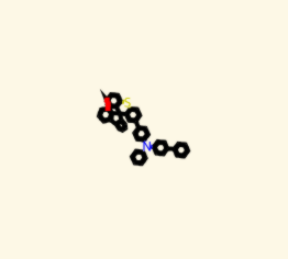 c1ccc(-c2ccc(N(c3ccccc3)c3ccc(-c4ccc5c(c4)C4(c6ccccc6-c6ccccc64)c4c(ccc6ccccc46)S5)cc3)cc2)cc1